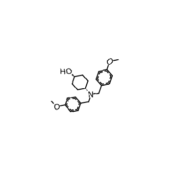 COc1ccc(CN(Cc2ccc(OC)cc2)[C@H]2CC[C@H](O)CC2)cc1